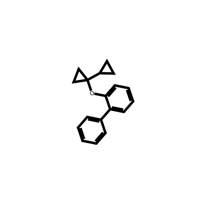 c1ccc(-c2ccccc2OC2(C3CC3)CC2)cc1